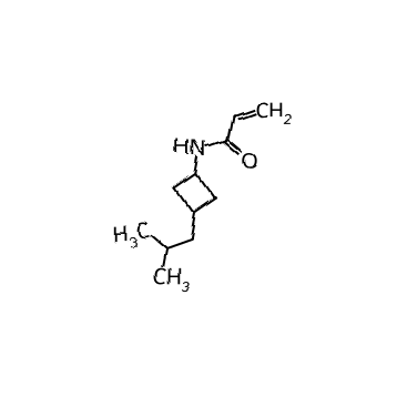 C=CC(=O)NC1CC(CC(C)C)C1